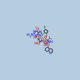 COc1nc(N)nc2c1ncn2C1O[C@H](COP(=O)(N[C@H](C(=O)OCc2ccc(F)cc2F)C(C)C)Oc2cccc3ncccc23)[C@@H](O)[C@@]1(C)O